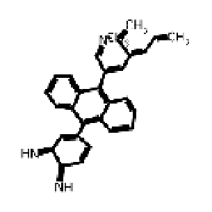 C=C/C=C(C=C)/C=C(\C=N/C)c1c2ccccc2c(C2=CC(=N)C(=N)C=C2)c2ccccc12